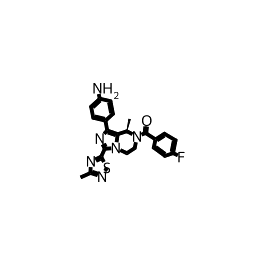 Cc1nsc(-c2nc(-c3ccc(N)cc3)c3n2CCN(C(=O)c2ccc(F)cc2)[C@@H]3C)n1